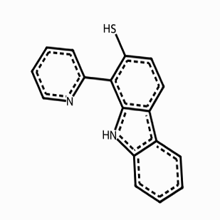 Sc1ccc2c([nH]c3ccccc32)c1-c1ccccn1